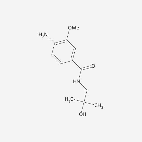 COc1cc(C(=O)NCC(C)(C)O)ccc1N